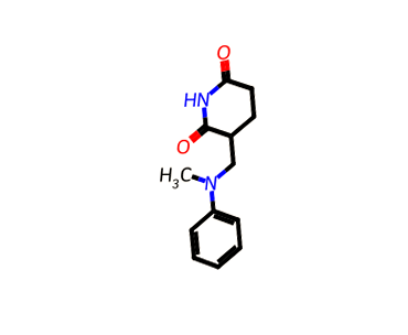 CN(CC1CCC(=O)NC1=O)c1ccccc1